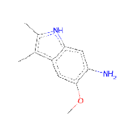 COc1cc2c(C)c(C)[nH]c2cc1N